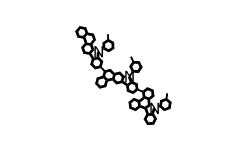 Cc1cccc(-n2c3cc(-c4cccc5c4c4ccccc4c4c6ccccc6n(-c6cccc(C)c6)c54)ccc3c3cc4c(cc(-c5ccc6c7ccc8c9ccccc9ccc8c7n(-c7cccc(C)c7)c6c5)c5ccccc54)cc32)c1